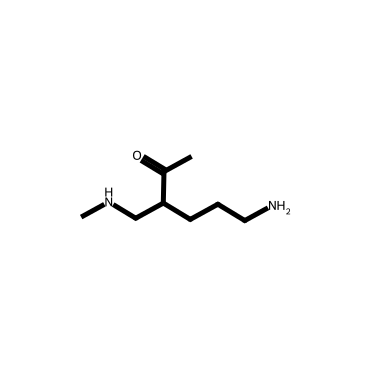 CNCC(CCCN)C(C)=O